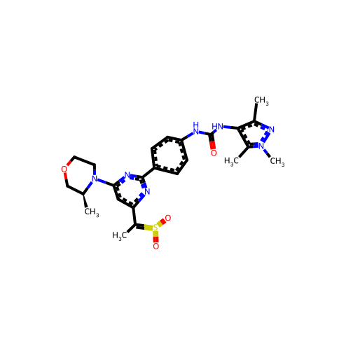 CC(c1cc(N2CCOC[C@@H]2C)nc(-c2ccc(NC(=O)Nc3c(C)nn(C)c3C)cc2)n1)=S(=O)=O